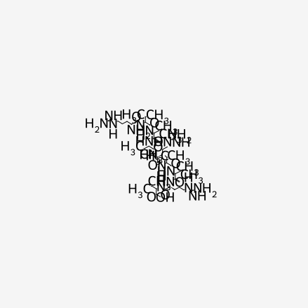 CC(C)[C@H](NC(=O)[C@H](CCCNC(=N)N)NC(=O)[C@@H](NC(=O)[C@@H](NC(=O)[C@H](CCCNC(=N)N)NC(=O)[C@@H](NC(=O)[C@@H](NC(=O)[C@@H](NC(=O)[C@@H](N)CCCNC(=N)N)C(C)C)C(C)C)C(C)C)C(C)C)C(C)C)C(=O)O